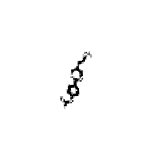 CCCC1COC(c2ccc(OC(F)F)cc2)OC1